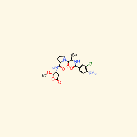 CCO[C@@H]1OC(=O)CC1NC(=O)C1CCCN1C(=O)C(NC(=O)c1ccc(N)c(Cl)c1)C(C)(C)C